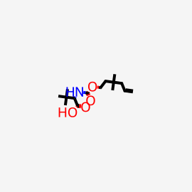 C=CCC(C)(C)CCOC(=O)NC(C(=O)O)C(C)(C)C